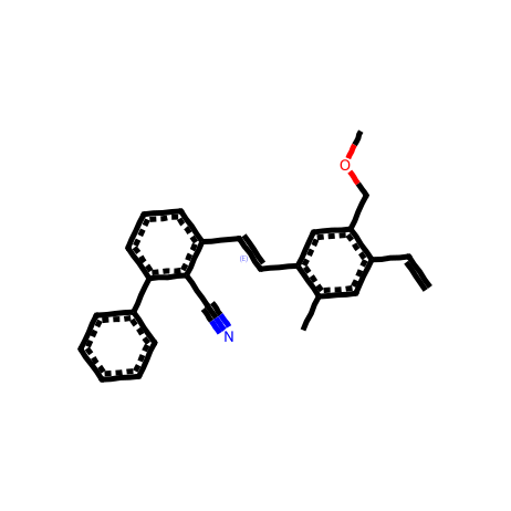 C=Cc1cc(C)c(/C=C/c2cccc(-c3ccccc3)c2C#N)cc1COC